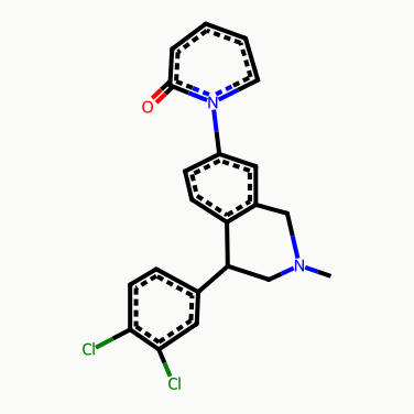 CN1Cc2cc(-n3ccccc3=O)ccc2C(c2ccc(Cl)c(Cl)c2)C1